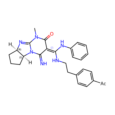 CC(=O)c1ccc(CCN/C(Nc2ccccc2)=c2/c(=O)n(C)c3n(c2=N)[C@H]2CCC[C@H]2N=3)cc1